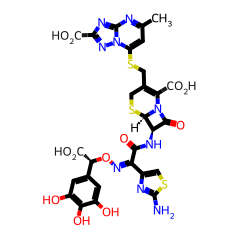 Cc1cc(SCC2=C(C(=O)O)N3C(=O)[C@@H](NC(=O)/C(=N\O[C@H](C(=O)O)c4cc(O)c(O)c(O)c4)c4csc(N)n4)[C@H]3SC2)n2nc(C(=O)O)nc2n1